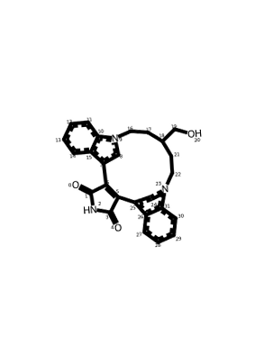 O=C1NC(=O)C2=C1c1cn(c3ccccc13)CCC(CO)CCn1cc2c2ccccc21